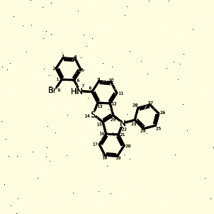 Brc1ccccc1Nc1cccc2c1sc1c3ccccc3n(-c3ccccc3)c21